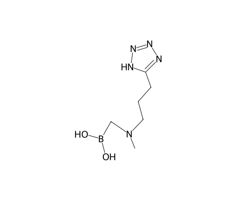 CN(CCCc1nnn[nH]1)CB(O)O